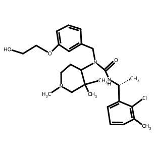 Cc1cccc([C@@H](C)NC(=O)N(Cc2cccc(OCCO)c2)C2CCN(C)CC2(C)C)c1Cl